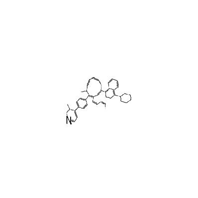 C/C=C\C=C/C1=C(c2ccc(C3=CC=NCC3C)cc2)C(C)/C=C\C=C/C/C(C2=c3ccccc3=C(C3CCCCC3)CC2)=C\1